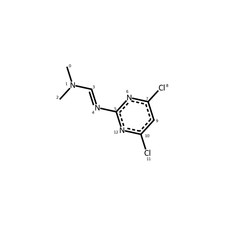 CN(C)C=Nc1nc(Cl)cc(Cl)n1